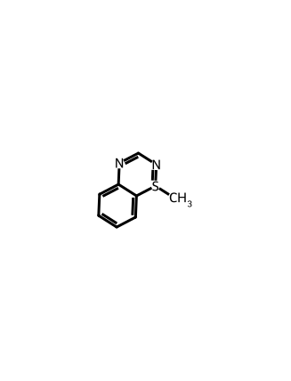 CS1=NC=Nc2ccccc21